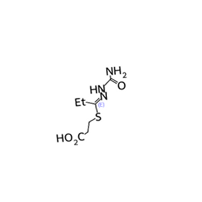 CC/C(=N\NC(N)=O)SCCC(=O)O